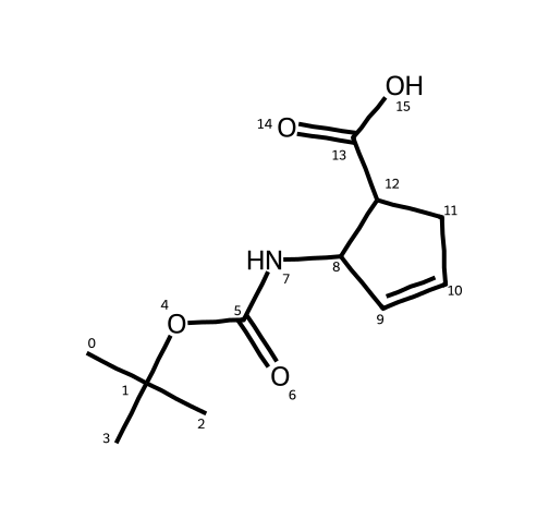 CC(C)(C)OC(=O)NC1C=CCC1C(=O)O